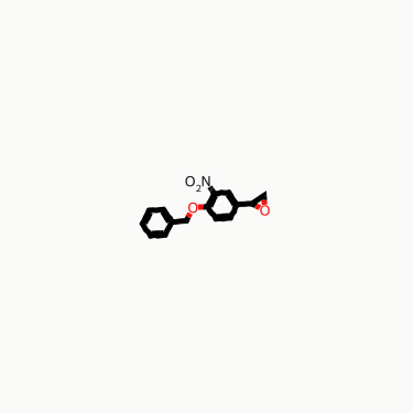 O=[N+]([O-])c1cc(C2CO2)ccc1OCc1ccccc1